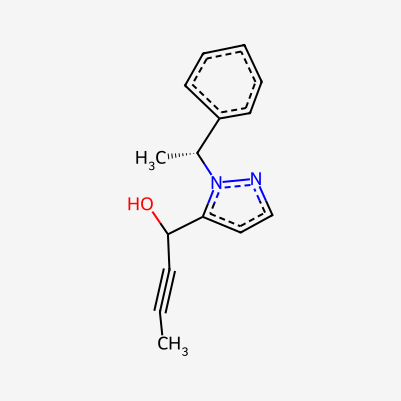 CC#CC(O)c1ccnn1[C@H](C)c1ccccc1